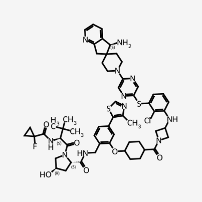 Cc1ncsc1-c1ccc(CNC(=O)[C@@H]2C[C@@H](O)CN2C(=O)[C@@H](NC(=O)C2(F)CC2)C(C)(C)C)c(OC2CCC(C(=O)N3CC(Nc4cccc(Sc5cnc(N6CCC7(CC6)Cc6ncccc6[C@H]7N)cn5)c4Cl)C3)CC2)c1